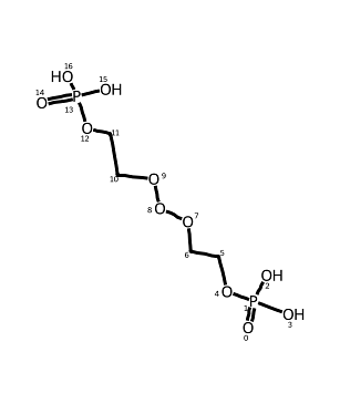 O=P(O)(O)OCCOOOCCOP(=O)(O)O